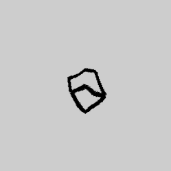 [CH]1C2CCCC1C2